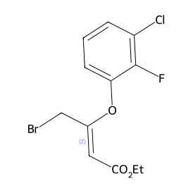 CCOC(=O)/C=C(/CBr)Oc1cccc(Cl)c1F